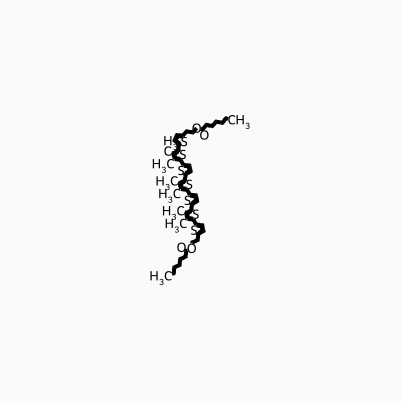 CCCCCCC(=O)OCCc1ccc(-c2sc(-c3ccc(-c4sc(-c5ccc(-c6sc(-c7ccc(CCOC(=O)CCCCCC)s7)c(C)c6C)s5)c(C)c4C)s3)c(C)c2C)s1